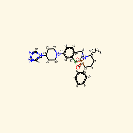 C[C@H]1CC[C@H](c2ccccc2)S(=O)(=O)N1Cc1ccc(N2CCC(n3cnnc3)CC2)cc1F